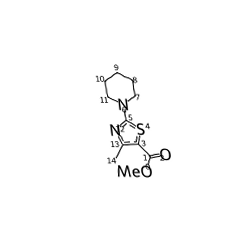 COC(=O)c1sc(N2CCCCC2)nc1C